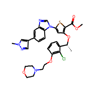 COC(=O)c1sc(-n2cnc3cc(-c4cnn(C)c4)ccc32)cc1O[C@H](C)c1cccc(OCCN2CCOCC2)c1Cl